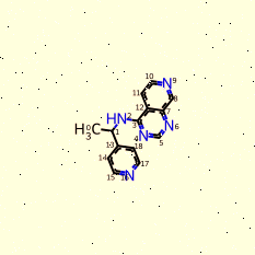 CC(Nc1ncnc2cnccc12)c1ccncc1